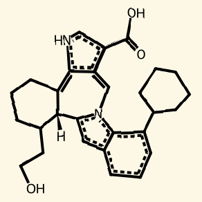 O=C(O)c1c[nH]c2c1=Cn1c(cc3cccc(C4CCCCC4)c31)[C@H]1C=2CCCC1CCO